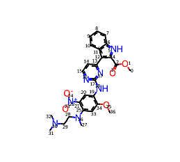 COC(=O)c1[nH]c2ccccc2c1-c1ccnc(Nc2cc([N+](=O)[O-])c(N(C)CCN(C)C)cc2OC)n1